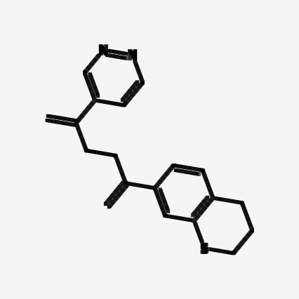 C=C(CCC(=C)c1ccc2c(c1)SCCC2)c1ccnnc1